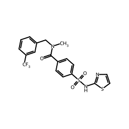 CN(Cc1cccc(C(F)(F)F)c1)C(=O)c1ccc(S(=O)(=O)Nc2nccs2)cc1